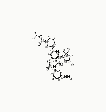 CC(C)OC(=O)N1CCC=C(c2ccc(C(=O)N(c3cccc(N)n3)[SH](=O)=O)c(N3C[C@@H](C)CC3(C)C)n2)C1